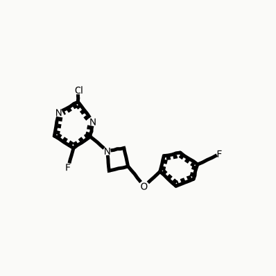 Fc1ccc(OC2CN(c3nc(Cl)ncc3F)C2)cc1